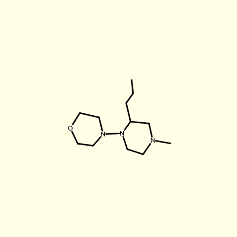 CCCC1CN(C)CCN1N1CCOCC1